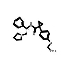 O=C(O)COc1ccc(C2(C(=O)N[C@H](CN3CCCC3)c3ccccc3)CC2)cc1